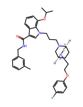 Cc1cccc(CNC(=O)c2cn(CCCN3C[C@@H]4CC[C@H]3CN4CCOc3ccc(F)cc3)c3c(OC(C)C)cccc23)c1